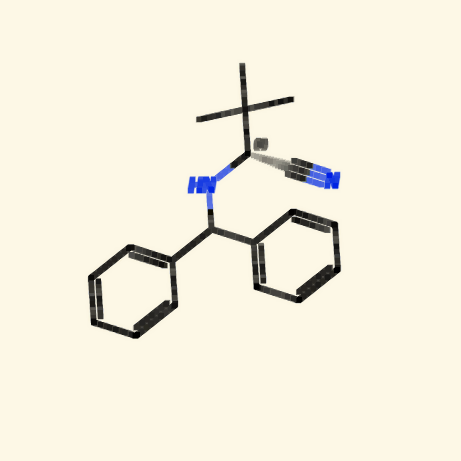 CC(C)(C)[C@H](C#N)NC(c1ccccc1)c1ccccc1